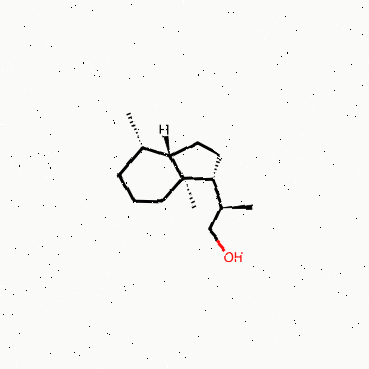 C[C@@H](CO)[C@H]1CC[C@H]2[C@@H](C)CCC[C@]12C